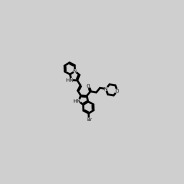 O=C(CCN1CCOCC1)c1c(/C=C/C2=CN3C=CC=CC3N2)[nH]c2cc(Br)ccc12